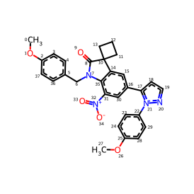 COc1ccc(CN2C(=O)C3(CCC3)c3cc(-c4ccnn4-c4ccc(OC)cc4)cc([N+](=O)[O-])c32)cc1